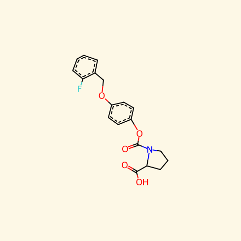 O=C(O)C1CCCN1C(=O)Oc1ccc(OCc2ccccc2F)cc1